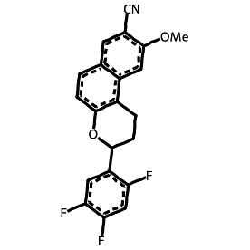 COc1cc2c3c(ccc2cc1C#N)OC(c1cc(F)c(F)cc1F)CC3